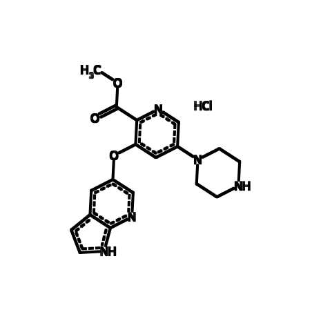 COC(=O)c1ncc(N2CCNCC2)cc1Oc1cnc2[nH]ccc2c1.Cl